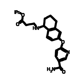 CC(C)OC(=O)CCNC1CCCc2cc(Oc3ccc(C(N)=O)cn3)ccc21